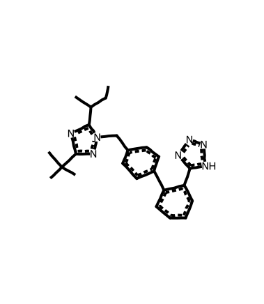 CCC(C)c1nc(C(C)(C)C)nn1Cc1ccc(-c2ccccc2-c2nnn[nH]2)cc1